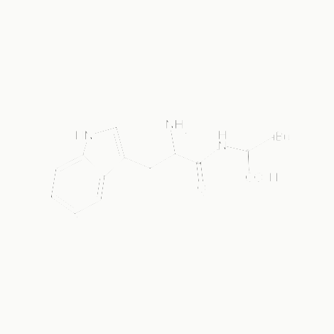 CCC(C)C(NC(=O)C(N)Cc1c[nH]c2ccccc12)C(=O)O